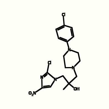 CC(O)(CN1CCN(c2ccc(Cl)cc2)CC1)Cn1cc([N+](=O)[O-])nc1Cl